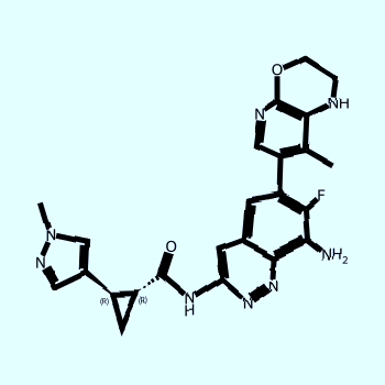 Cc1c(-c2cc3cc(NC(=O)[C@@H]4C[C@H]4c4cnn(C)c4)nnc3c(N)c2F)cnc2c1NCCO2